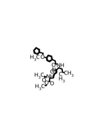 CCOC(=O)C(Cc1cc(C(CC(C)C)NC(=O)Cc2ccc(OCc3ccccc3C)cc2)no1)NC(C)=O